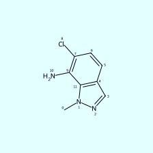 Cn1ncc2ccc(Cl)c(N)c21